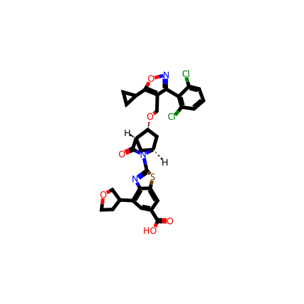 O=C(O)c1cc(C2CCOC2)c2nc(N3C(=O)[C@@H]4C[C@H]3C[C@H]4OCc3c(-c4c(Cl)cccc4Cl)noc3C3CC3)sc2c1